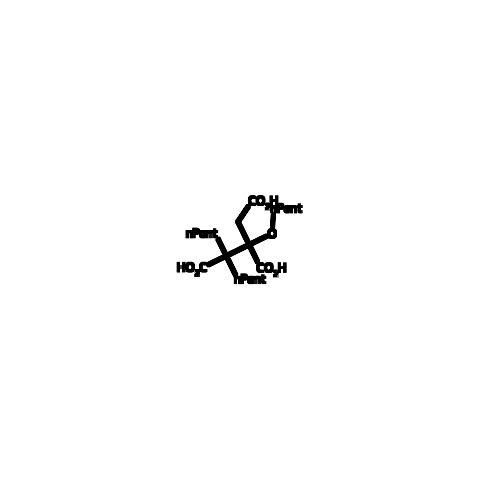 CCCCCOC(CC(=O)O)(C(=O)O)C(CCCCC)(CCCCC)C(=O)O